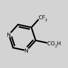 O=C(O)c1ncncc1C(F)(F)F